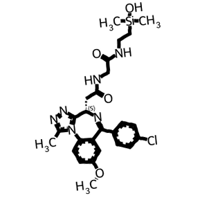 COc1ccc2c(c1)C(c1ccc(Cl)cc1)=N[C@@H](CC(=O)NCC(=O)NCC[Si](C)(C)O)c1nnc(C)n1-2